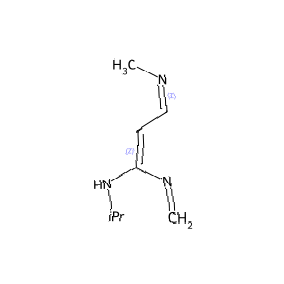 C=N/C(=C\C=N/C)NC(C)C